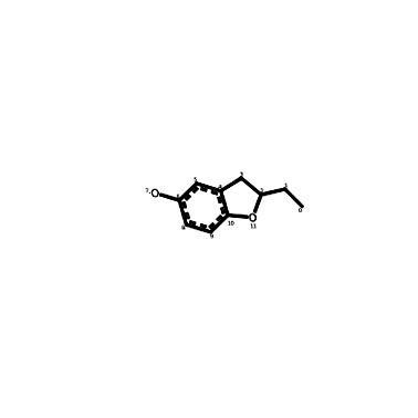 CCC1Cc2cc([O])ccc2O1